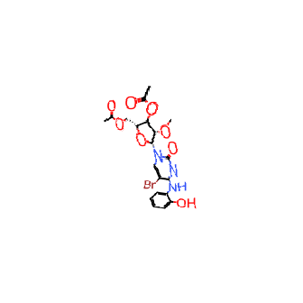 CO[C@H]1C(OC(C)=O)[C@@H](COC(C)=O)O[C@H]1n1cc(Br)c(Nc2ccccc2O)nc1=O